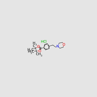 CC1(C)OB(c2ccc(CCN3CCOCC3)cc2)OC1(C)C.Cl